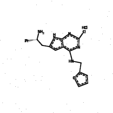 CC(C)[C@H](N)Cc1cc2c(NCc3ccco3)nc(Cl)nc2[nH]1.Cl